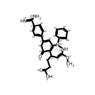 COC1=CC(CCC(=O)O)C2=C(C=C(c3ccc(C(=N)N)cc3)CC2=O)N(c2ccccc2)N1